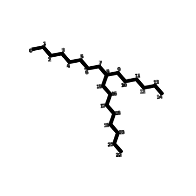 CCCCCC[CH]CC(CCCCCC)CCCCCCCC